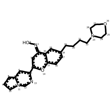 O/N=c1\cc(-c2cc3cccn3cn2)oc2ccc(CCCCN3CCOCC3)cc12